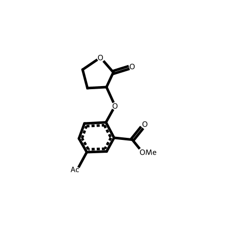 COC(=O)c1cc(C(C)=O)ccc1OC1CCOC1=O